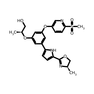 C[C@@H]1COC(c2ccc(-c3cc(Oc4ccc(S(C)(=O)=O)nc4)cc(O[C@@H](C)CO)c3)[nH]2)=N1